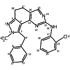 Cn1nc2c(c1Cc1ccccc1)-c1nc(Nc3ccccc3Cl)ncc1CC2